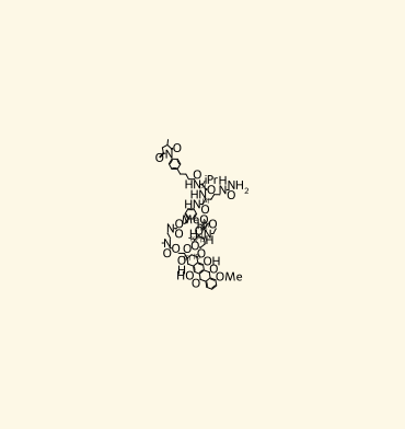 COc1cccc2c1C(=O)c1c(O)c3c(c(O)c1C2=O)C[C@@](O)(C(=O)COC(=O)N(C)CCN(C)C(=O)OCc1ccc(NC(=O)[C@H](CCCNC(N)=O)NC(=O)[C@@H](NC(=O)CCCc2ccc(N4C(=O)CC(C)C4=O)cc2)C(C)C)cc1)C[C@@H]3OC1C[C@H]2[C@H](O[C@@H]3[C@@H](OC)OCCN32)[C@H](C)O1